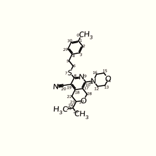 Cc1ccc(CCSc2nc(N3CCOCC3)c3c(c2C#N)CC(C(C)C)OC3)cc1